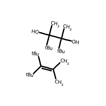 CC(C)(C)C(C)(O)C(C)(O)C(C)(C)C.CC(C)=C(C(C)(C)C)C(C)(C)C